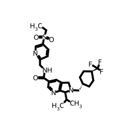 CCS(=O)(=O)c1ccc(CNC(=O)c2cnc3c(c2)CN(C[C@H]2CC[C@H](C(F)(F)F)CC2)C3C(C)C)nc1